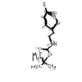 CC(C)(C)OC(=O)NCCc1ccc(F)nc1